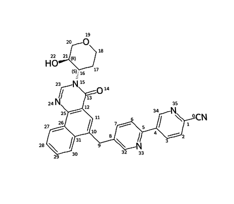 N#Cc1ccc(-c2ccc(Cc3cc4c(=O)n([C@H]5CCOC[C@@H]5O)cnc4c4ccccc34)cn2)cn1